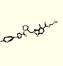 COCCNC(=O)c1ccc2nn(CC3CCCCN3C(=O)c3ccc(-c4ccc(C)nc4)cc3)cc2c1C